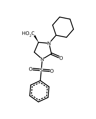 O=C(O)[C@@H]1CN(S(=O)(=O)c2ccccc2)C(=O)N1C1CCCCC1